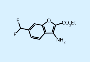 CCOC(=O)c1oc2cc(C(F)F)ccc2c1N